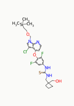 C[Si](C)(C)CCOCn1cc(Cl)c2c(Oc3c(F)cc(NC(=S)NCC4(CO)CCC4)cc3F)ccnc21